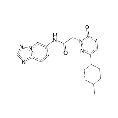 CC1CCC(c2ccc(=O)n(CC(=O)Nc3ccc4ncnn4c3)n2)CC1